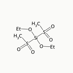 CCO[Si](OCC)(S(C)(=O)=O)S(C)(=O)=O